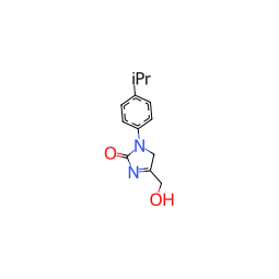 CC(C)c1ccc(N2CC(CO)=NC2=O)cc1